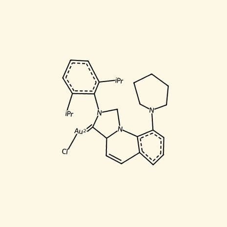 CC(C)c1cccc(C(C)C)c1N1CN2c3c(cccc3N3CCCCC3)C=CC2[C]1=[Au-2][Cl]